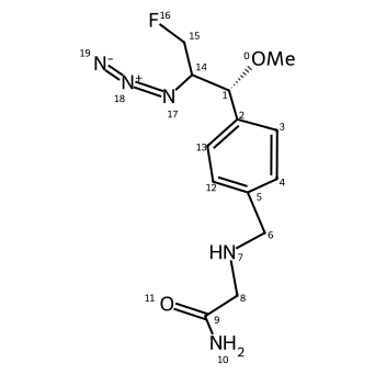 CO[C@H](c1ccc(CNCC(N)=O)cc1)C(CF)N=[N+]=[N-]